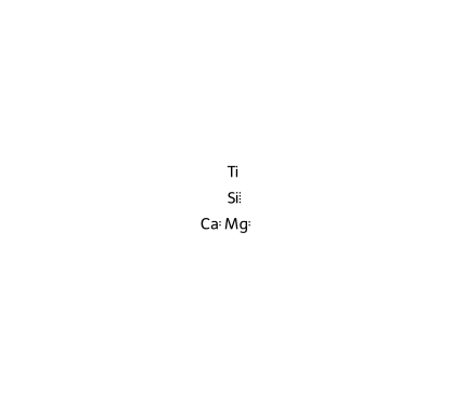 [Ca].[Mg].[Si].[Ti]